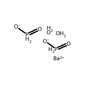 O.O.O=[PH2][O-].O=[PH2][O-].[Ba+2]